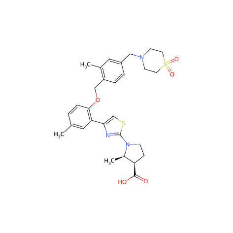 Cc1ccc(OCc2ccc(CN3CCS(=O)(=O)CC3)cc2C)c(-c2csc(N3CC[C@@H](C(=O)O)[C@H]3C)n2)c1